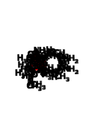 CCN(CC)CCNC(=O)c1c(C)[nH]c(/C=C2\C(=O)N(C(=O)c3c(C)cccc3COC(=O)C(C)C(C)C(=O)N[C@H](C(=O)N[C@H](CCN)C(=O)N[C@H]3CCNC(=O)[C@@H]([C@@H](C)O)NC(=O)[C@@H](CCN)NC(=O)[C@@H](CCN)NC(=O)[C@@H](CC(C)C)NC(=O)[C@@H](Cc4ccccc4)NC(=O)[C@@H](CCN)NC3=O)[C@@H](C)O)c3ccc(F)cc32)c1C